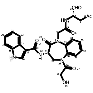 CC(=O)C[C@@H](C=O)NC(=O)CN1C(=O)[C@@H](NC(=O)c2c[nH]c3ccccc23)CN(C(=O)CO)c2ccccc21